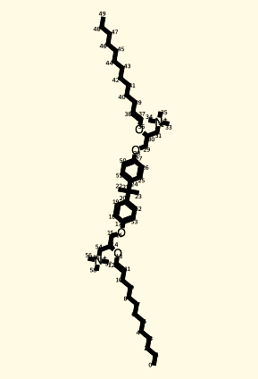 CCCCCCCCCCCC=COC(COc1ccc(C(C)(C)c2ccc(OCC(C[N+](C)(C)C)OC=CCCCCCCCCCCC)cc2)cc1)C[N+](C)(C)C